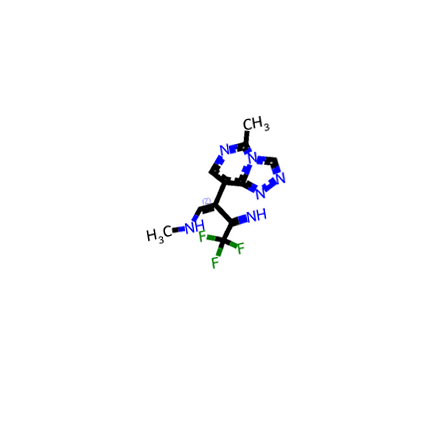 CN/C=C(\C(=N)C(F)(F)F)c1cnc(C)n2cnnc12